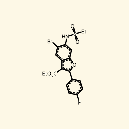 CCOC(=O)c1c(-c2ccc(F)cc2)oc2cc(NS(=O)(=O)CC)c(Br)cc12